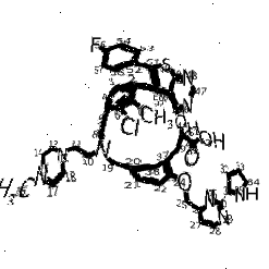 Cc1c2ccc(c1Cl)CN(CCN1CCN(C)CC1)Cc1ccc(OCc3ccnc([C@@H]4CCCN4)n3)c(c1)C[C@H](C(=O)O)Oc1ncnc3sc(-c4ccc(F)cc4)c-2c13